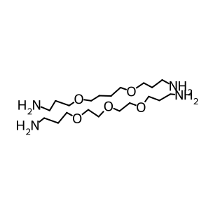 NCCCOCCCCOCCCN.NCCCOCCOCCOCCCN